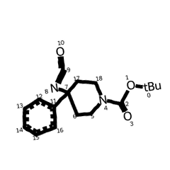 CC(C)(C)OC(=O)N1CCC(N=C=O)(c2ccccc2)CC1